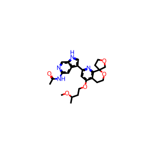 COC(C)CCOc1cc(-c2c[nH]c3cnc(NC(C)=O)cc23)nc2c1CCOC21CCOC1